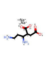 NCCC(N)C(CC(=O)[O-])C(=O)[O-].[Na+].[Na+]